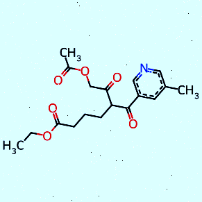 CCOC(=O)CCCC(C(=O)COC(C)=O)C(=O)c1cncc(C)c1